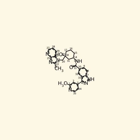 Cc1cc(-c2n[nH]c3ccc(C(=O)N[C@@H]4CCC[C@@](O)(Cn5c(C)nc6ncccc65)C4)cc23)ccn1